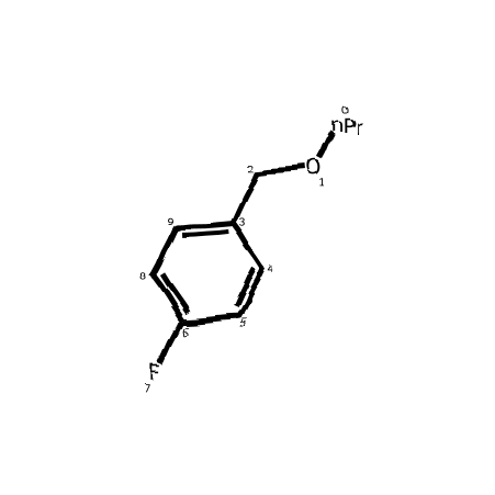 [CH2]CCOCc1ccc(F)cc1